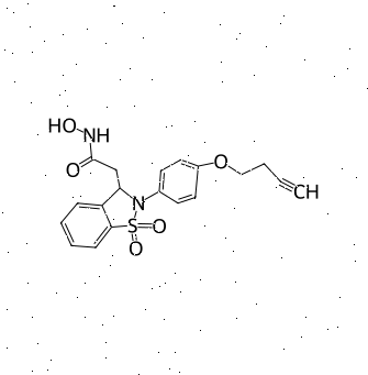 C#CCCOc1ccc(N2C(CC(=O)NO)c3ccccc3S2(=O)=O)cc1